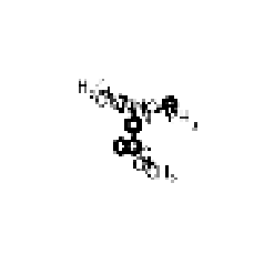 C=CC(=O)Oc1cc(C2CCc3c(nc(OCC4CCCN4C)nc3N3CCN(C(=O)C=C)CC3)C2)c2ccccc2c1